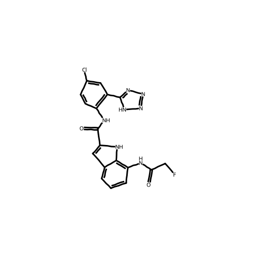 O=C(CF)Nc1cccc2cc(C(=O)Nc3ccc(Cl)cc3-c3nnn[nH]3)[nH]c12